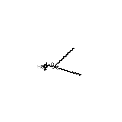 CCCCCCCCCCCCCCCCSCC(CSCCCCCCCCCCCCCCCC)OC(=O)CCc1cc(C(C)(C)C)c(O)cc1C